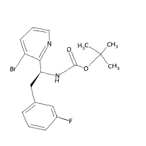 CC(C)(C)OC(=O)N[C@@H](Cc1cccc(F)c1)c1ncccc1Br